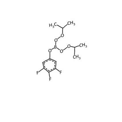 CC(C)OOB(OOC(C)C)Oc1cc(F)c(F)c(F)c1